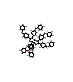 c1ccc(Sc2ccc(C3=NC(c4ccc(Sc5ccccc5)cc4)(C4(c5ccc(Sc6ccccc6)cc5)N=C(c5ccc(Sc6ccccc6)cc5)C(c5ccc(Sc6ccccc6)cc5)=N4)N=C3c3ccc(Sc4ccccc4)cc3)cc2)cc1